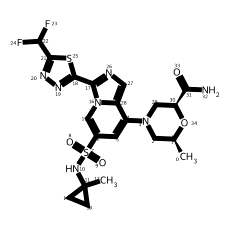 C[C@H]1CN(c2cc(S(=O)(=O)NC3(C)CC3)cn3c(-c4nnc(C(F)F)s4)ncc23)C[C@@H](C(N)=O)O1